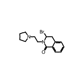 O=C1c2ccccc2CC(Br)N1CCN1CCCC1